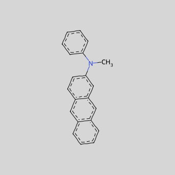 CN(c1ccccc1)c1ccc2cc3ccccc3cc2c1